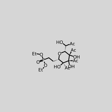 CCOP(=O)(CC[C@@H]1O[C@H](C(O)C(C)=O)[C@@](O)(C(C)=O)[C@@](O)(C(C)=O)[C@]1(O)C(C)=O)OCC